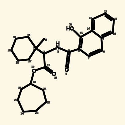 CC1(C(NC(=O)c2ccc3ccccc3c2O)C(=O)OC2CCCCCC2)CCCCC1